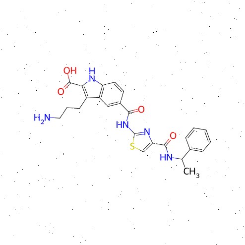 CC(NC(=O)c1csc(NC(=O)c2ccc3[nH]c(C(=O)O)c(CCCN)c3c2)n1)c1ccccc1